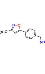 NCc1ccc(-c2cc(C=O)no2)cc1